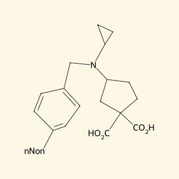 CCCCCCCCCc1ccc(CN(C2CC2)C2CCC(C(=O)O)(C(=O)O)C2)cc1